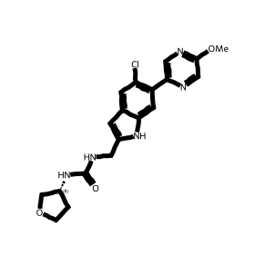 COc1cnc(-c2cc3[nH]c(CNC(=O)N[C@@H]4CCOC4)cc3cc2Cl)cn1